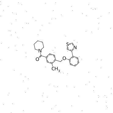 Cc1cc(C(=O)N2CCCCC2)ccc1COc1ccccc1-c1cscn1